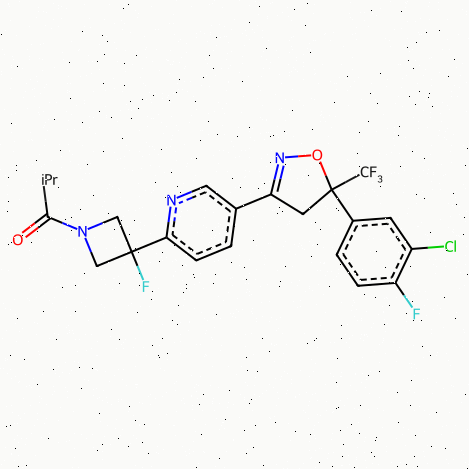 CC(C)C(=O)N1CC(F)(c2ccc(C3=NOC(c4ccc(F)c(Cl)c4)(C(F)(F)F)C3)cn2)C1